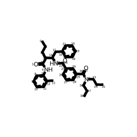 [CH2]CCC(C(=O)Nc1ccccc1C)C(Cc1ccccc1)NC(=O)c1cccc(C(=O)N(CCC)CCC)c1